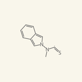 CN([C]=S)n1cc2ccccc2c1